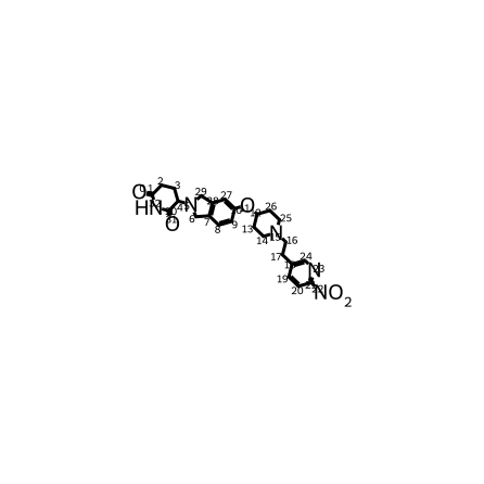 O=C1CCC(N2Cc3ccc(OC4CCN(CCc5ccc([N+](=O)[O-])nc5)CC4)cc3C2)C(=O)N1